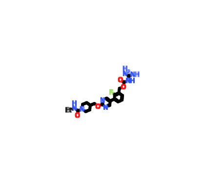 CCNC(=O)N1CCC(COc2ncc(-c3cccc(COC(=O)NC(=N)N)c3F)cn2)CC1